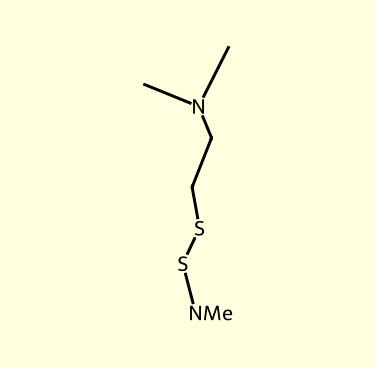 CNSSCCN(C)C